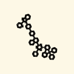 c1ccc(-c2nc(-c3cccc4c3-c3ccccc3C4(c3ccccc3)c3ccccc3)nc(-c3ccc(-c4ccc(-c5ccc(-n6c(-c7ccccn7)nc7ccccc76)cc5)cc4)c4ccccc34)n2)cc1